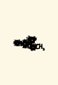 Cc1cccc(N(c2ccccc2)c2ccc(/C=C/c3ccccc3)cc2)c1